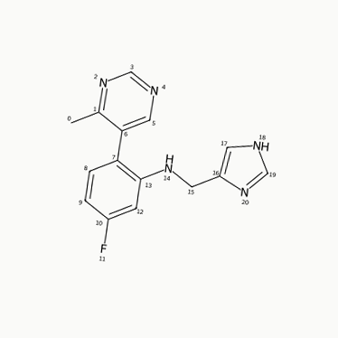 Cc1ncncc1-c1ccc(F)cc1NCc1c[nH]cn1